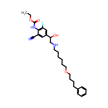 CCOC(=O)Nc1c(F)cc(C(O)CNCCCCCCOCCCCc2ccccc2)cc1C#N